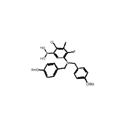 COc1ccc(CN(Cc2ccc(OC)cc2)c2cc(B(O)O)c(Cl)c(C)c2F)cc1